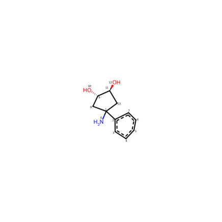 NC1(c2ccccc2)C[C@H](O)[C@@H](O)C1